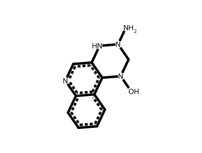 NN1CN(O)c2c(cnc3ccccc23)N1